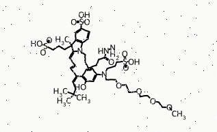 COCCOCCOCCOCCN(CCCS(=O)(=O)O)c1ccc(C(=C\CC(C)(C)C)/C=C/C=C2\N(CCCCCC(=O)NN)c3ccc(S(=O)(=O)O)cc3C2(C)CCCS(=O)(=O)O)c(O)c1